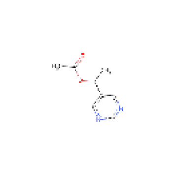 CC(=O)OC(C)c1cncnc1